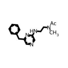 CC(=O)N(C)CCNc1cncc(Cc2ccccc2)n1